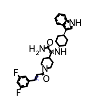 NC(=O)[C@H](N[C@H]1CC[C@H](c2c[nH]c3ccccc32)CC1)C1CCN(C(=O)/C=C/c2cc(F)cc(F)c2)CC1